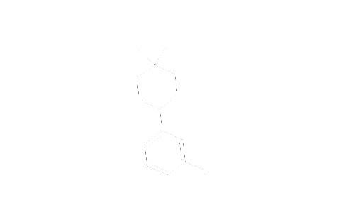 CC1(C)COB(c2cccc(Br)c2)OC1